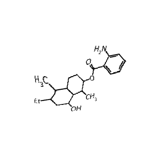 CCC1CC(O)C2C(C)C(OC(=O)c3ccccc3N)CCC2C1C